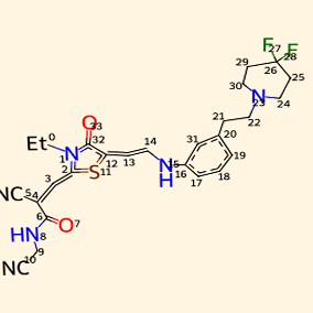 CCn1c(=C=C(C#N)C(=O)NCC#N)sc(=C=CNc2cccc(CCN3CCC(F)(F)CC3)c2)c1=O